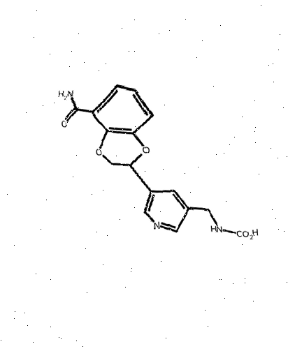 NC(=O)c1cccc2c1OCC(c1cncc(CNC(=O)O)c1)O2